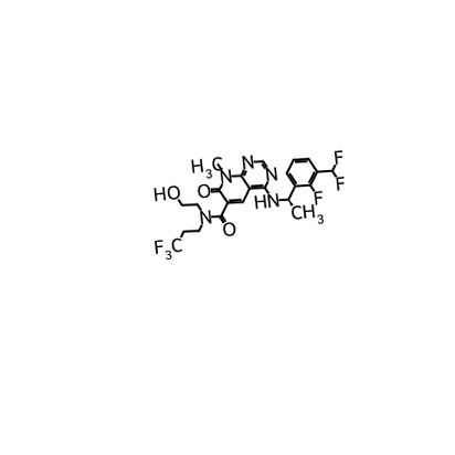 C[C@@H](Nc1ncnc2c1cc(C(=O)N(CCO)CCC(F)(F)F)c(=O)n2C)c1cccc(C(F)F)c1F